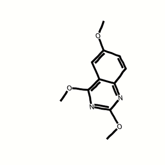 COc1ccc2nc(OC)nc(OC)c2c1